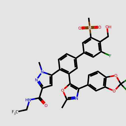 Cc1nc(-c2ccc3c(c2)OC(F)(F)O3)c(-c2cc(-c3cc(F)c(CO)c(S(C)(=O)=O)c3)ccc2-c2cc(C(=O)NCC(F)(F)F)nn2C)o1